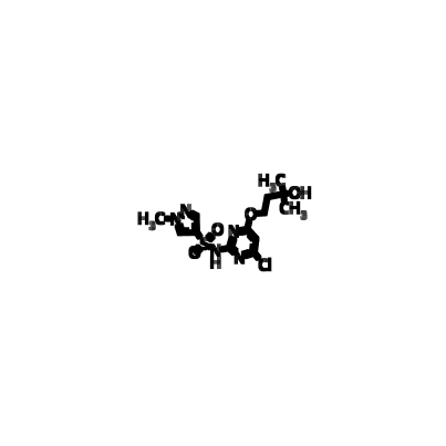 Cn1cc(S(=O)(=O)Nc2nc(Cl)cc(OCCC(C)(C)O)n2)cn1